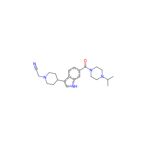 CC(C)N1CCN(C(=O)c2ccc3c(C4CCN(CC#N)CC4)c[nH]c3c2)CC1